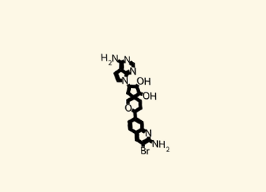 Nc1nc2cc(C3CCC4(CO3)CC(n3ccc5c(N)ncnc53)C(O)C4O)ccc2cc1Br